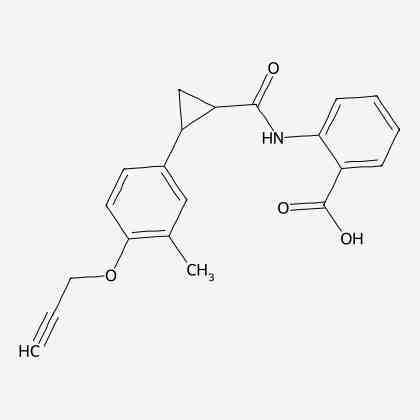 C#CCOc1ccc(C2CC2C(=O)Nc2ccccc2C(=O)O)cc1C